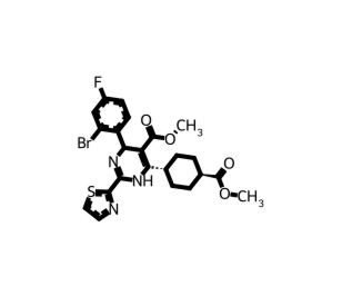 COC(=O)C1=C([C@H]2CC[C@H](C(=O)OC)CC2)NC(c2nccs2)=NC1c1ccc(F)cc1Br